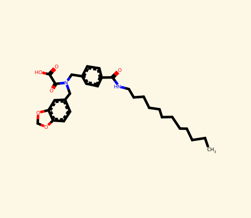 CCCCCCCCCCCCNC(=O)c1ccc(CN(Cc2ccc3c(c2)OCO3)C(=O)C(=O)O)cc1